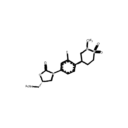 CC(=O)NC[C@H]1CN(c2ccc(C3CCS(=O)(=O)N(C)C3)c(F)c2)C(=O)O1